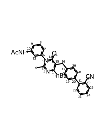 CCCCc1nc(C)n(-c2cccc(NC(C)=O)c2)c(=O)c1Cc1ccc(-c2ccccc2C#N)cc1